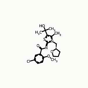 COc1ccc(Cl)cc1C(=O)/N=c1\sc(C(C)(C)O)c(C)n1C[C@H]1CCCO1